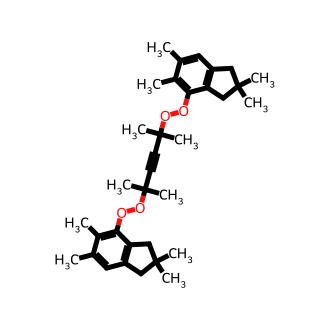 Cc1cc2c(c(OOC(C)(C)C#CC(C)(C)OOc3c(C)c(C)cc4c3CC(C)(C)C4)c1C)CC(C)(C)C2